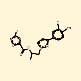 CCc1noc(C(=O)NC(C)Cn2ccc(-c3ccc(C#N)c(Cl)c3)n2)n1